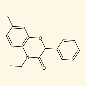 CCN1C(=O)C(c2ccccc2)Oc2cc(C)ccc21